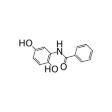 O=C(Nc1cc(O)ccc1O)c1ccccc1